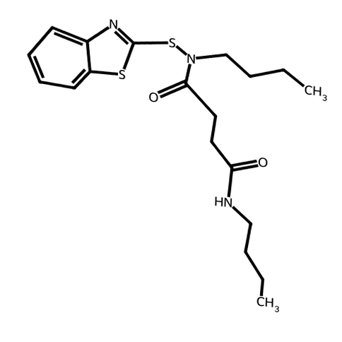 CCCCNC(=O)CCC(=O)N(CCCC)Sc1nc2ccccc2s1